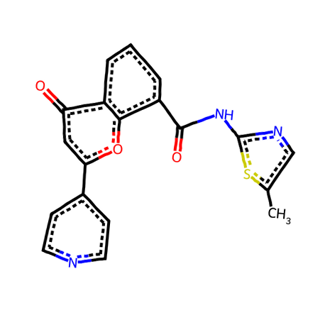 Cc1cnc(NC(=O)c2cccc3c(=O)cc(-c4ccncc4)oc23)s1